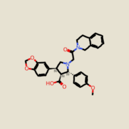 COc1ccc([C@@H]2[C@@H](C(=O)O)[C@@H](c3ccc4c(c3)OCO4)CN2CC(=O)N2CCc3ccccc3C2)cc1